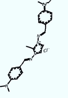 Cc1n(N=Cc2ccc(N(C)C)cc2)cc[n+]1N=Cc1ccc(N(C)C)cc1.[Cl-]